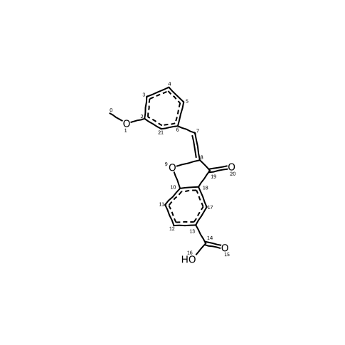 COc1cccc(/C=C2\Oc3ccc(C(=O)O)cc3C2=O)c1